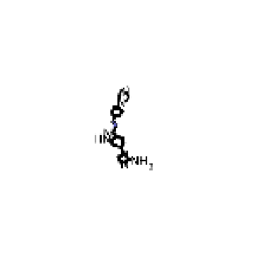 CN1CCN(c2ccc(/C=C/c3n[nH]c4cc(-c5ccnc(N)c5)ccc34)cc2)CC1